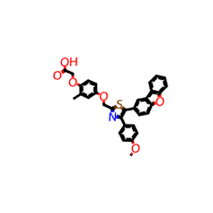 COc1ccc(-c2nc(COc3ccc(OCC(=O)O)c(C)c3)sc2-c2ccc3oc4ccccc4c3c2)cc1